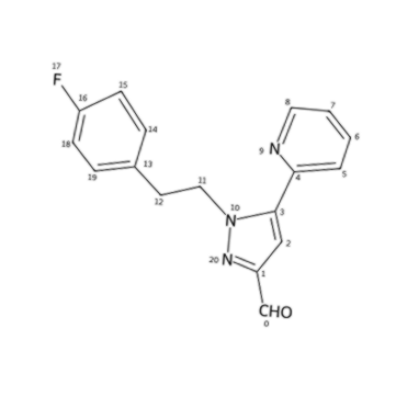 O=Cc1cc(-c2ccccn2)n(CCc2ccc(F)cc2)n1